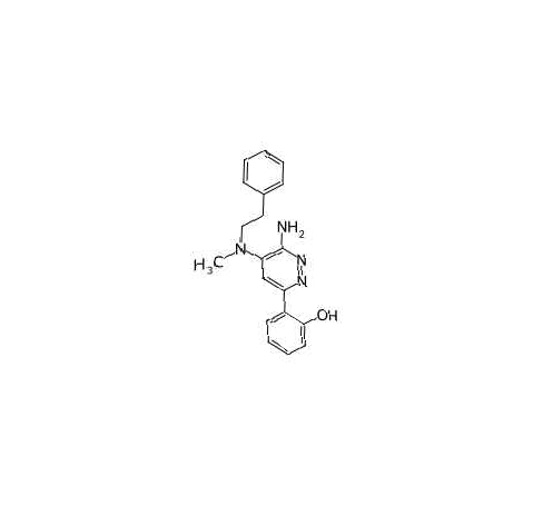 CN(CCc1ccccc1)c1cc(-c2ccccc2O)nnc1N